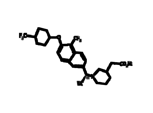 CCOC(=O)CC1CCCN([C@H](CC)c2ccc3c(C(F)(F)F)c(OC4CCC(C(F)(F)F)CC4)ccc3c2)C1